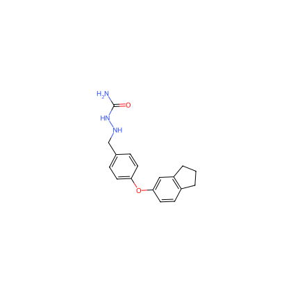 NC(=O)NNCc1ccc(Oc2ccc3c(c2)CCC3)cc1